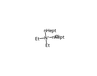 CCCCCCC[N+](CC)(CC)CCCCCCC.[Cl-]